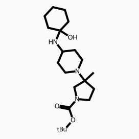 CC(C)(C)OC(=O)N1CCC(C)(N2CCC(NC3(O)CCCCC3)CC2)C1